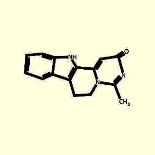 Cc1nc(=O)cc2n1CCc1c-2[nH]c2ccccc12